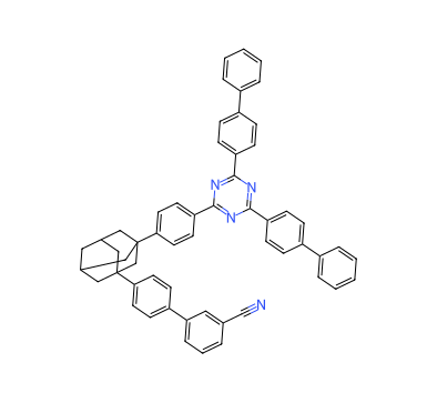 N#Cc1cccc(-c2ccc(C34CC5CC(C3)CC(c3ccc(-c6nc(-c7ccc(-c8ccccc8)cc7)nc(-c7ccc(-c8ccccc8)cc7)n6)cc3)(C5)C4)cc2)c1